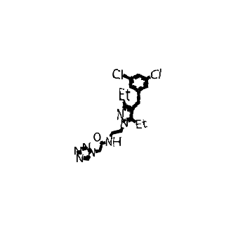 CCc1nn(CCNC(=O)Cn2cnnn2)c(CC)c1Cc1cc(Cl)cc(Cl)c1